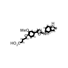 COc1cc(-c2cnc(Nc3ccc4[nH]ncc4c3)o2)ccc1OCCCC(=O)O